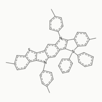 Cc1ccc(-n2c3c(c4cc5c(cc42)c2sc4cc(C)ccc4c2n5-c2ccc(C)cc2)[Si](c2ccccc2)(c2ccccc2)c2cc(C)ccc2-3)cc1